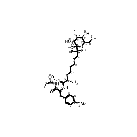 COc1ccc(CC(NC(=O)[C@@H](N)CCCCNCC(F)(F)C2(O)O[C@H](CO)[C@H](O)[C@H](O)[C@H]2O)C(=O)N[C@@H](C)C(=O)O)cc1